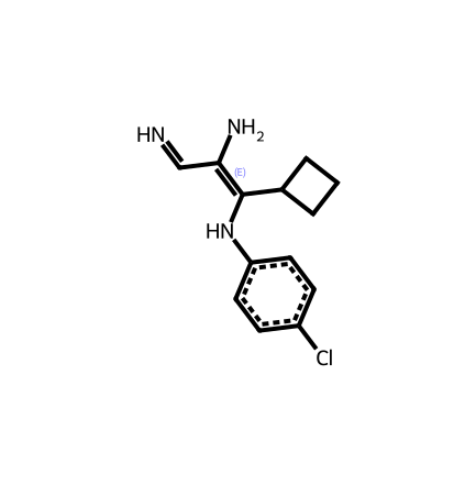 N=C/C(N)=C(\Nc1ccc(Cl)cc1)C1CCC1